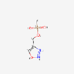 CS(=O)(=O)OCc1conn1